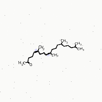 CC(=O)CC/C=C(/C)CC/C=C(/C)CCCC(C)CCCC(C)C